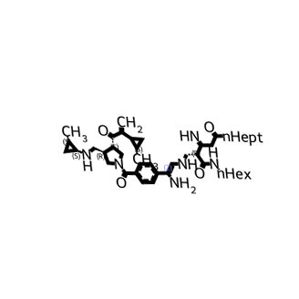 C=C(C(=O)[C@@H]1CN(C(=O)c2ccc(/C(N)=C/NC[C@H](C(=N)CC(=O)CCCCCCC)C(=O)NCCCCCC)cc2)C[C@H]1CN[C@H]1C[C@@H]1C)C1C[C@@H]1C